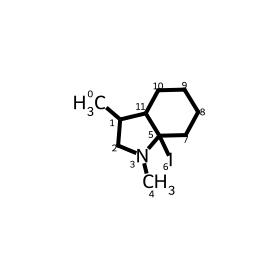 CC1CN(C)C2(I)CCCCC12